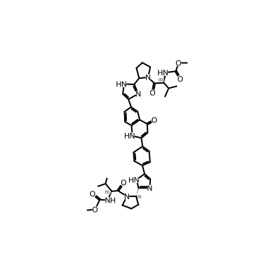 COC(=O)N[C@H](C(=O)N1CCCC1c1nc(-c2ccc3[nH]c(-c4ccc(-c5cnc([C@@H]6CCCN6C(=O)[C@@H](NC(=O)OC)C(C)C)[nH]5)cc4)cc(=O)c3c2)c[nH]1)C(C)C